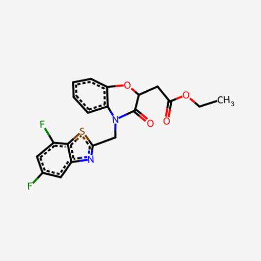 CCOC(=O)CC1Oc2ccccc2N(Cc2nc3cc(F)cc(F)c3s2)C1=O